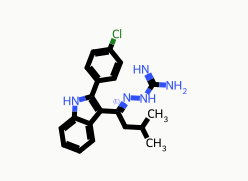 CC(C)C/C(=N\NC(=N)N)c1c(-c2ccc(Cl)cc2)[nH]c2ccccc12